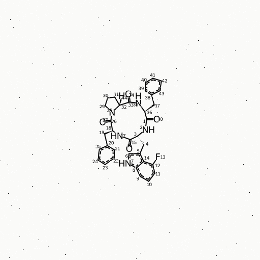 O=C1N[C@H](Cc2c[nH]c3cccc(F)c23)C(=O)N[C@@H](Cc2ccccc2)C(=O)N2CCC[C@@H]2C(=O)N[C@H]1Cc1ccccc1